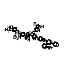 CC(C)c1ccccc1C1CN(C2CCOCC2)CCN1C1CC2(CCN(c3cc(Oc4cnc5[nH]cc(F)c5c4)c(C(=O)NS(=O)(=O)c4ccc(NCC5CCC(C)(O)CC5)c([N+](=O)[O-])c4)cn3)CC2)C1